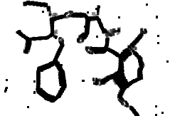 CC[C@H](OC(=O)[C@H](C)NC(=O)c1c(O)c(OC)cc[n+]1[O-])[C@H](Oc1ccccc1)C(C)C